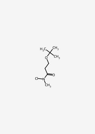 CN(Cl)C(=O)CCOC(C)(C)C